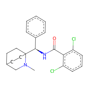 CN1CC2CCC1([C@H](NC(=O)c1c(Cl)cccc1Cl)c1ccccc1)CC2